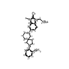 Cn1c(=O)n(CC(C)(C)C)c2ccc(N3CCCC4(CCN(c5ncccc5N)C4)C3)nc21